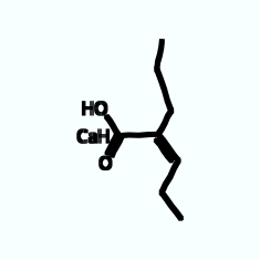 CCC=C(CCC)C(=O)O.[CaH2]